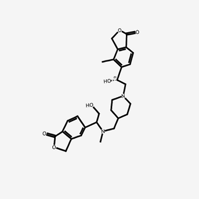 Cc1c([C@@H](O)CN2CCC(CN(C)C(CO)c3ccc4c(c3)COC4=O)CC2)ccc2c1COC2=O